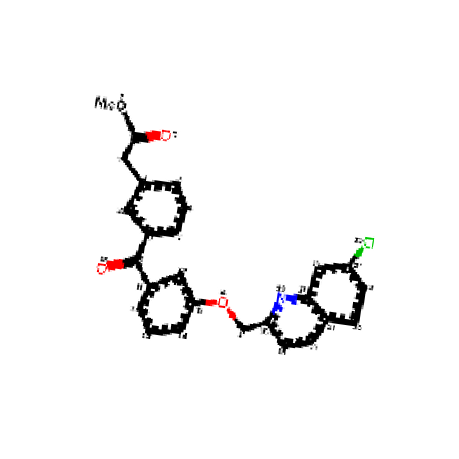 COC(=O)Cc1cccc(C(=O)c2cccc(OCc3ccc4ccc(Cl)cc4n3)c2)c1